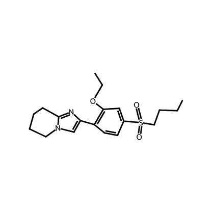 CCCCS(=O)(=O)c1ccc(-c2cn3c(n2)CCCC3)c(OCC)c1